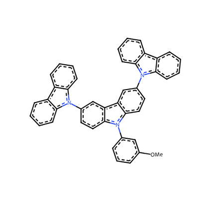 COc1cccc(-n2c3ccc(-n4c5ccccc5c5ccccc54)cc3c3cc(-n4c5ccccc5c5ccccc54)ccc32)c1